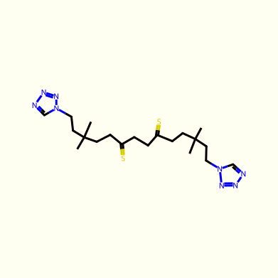 CC(C)(CCC(=S)CCC(=S)CCC(C)(C)CCn1cnnn1)CCn1cnnn1